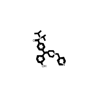 CC(C)N(C(=O)c1ccc(C(=C2CCN(Cc3ccncc3)CC2)c2cccc(O)c2)cc1)C(C)C